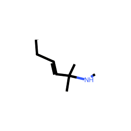 [CH2]C/C=C/C(C)(C)NC